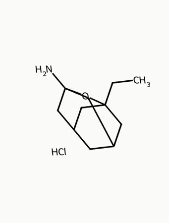 CCC12CC3CC(CC(N)(C3)O1)C2.Cl